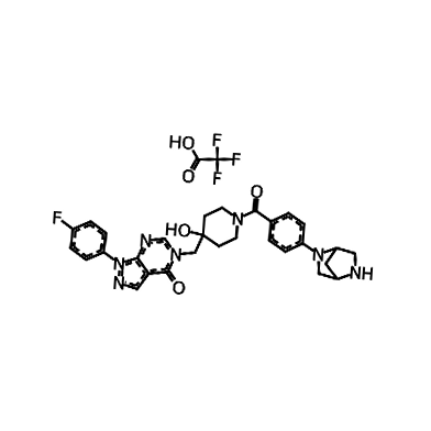 O=C(O)C(F)(F)F.O=C(c1ccc(N2CC3CC2CN3)cc1)N1CCC(O)(Cn2cnc3c(cnn3-c3ccc(F)cc3)c2=O)CC1